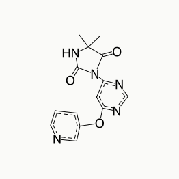 CC1(C)NC(=O)N(c2cc(Oc3cccnc3)ncn2)C1=O